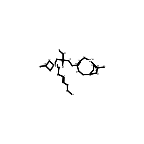 CCC/C=C/CC[PH]1(CC(C)(CC)CC/C2=C/CCC3=C(C)CC(CC2)C3)CC(C)C1